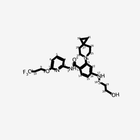 O=C(Nc1cccc(OCCC(F)(F)F)n1)c1ccc(NSCCO)cc1N1CCC2(CC1)CC2